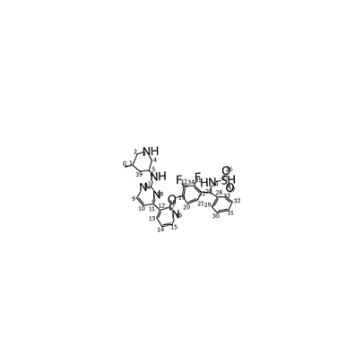 C[C@H]1CNC[C@@H](Nc2nccc(-c3cccnc3Oc3ccc(C(N[SH](=O)=O)c4ccccc4)c(F)c3F)n2)C1